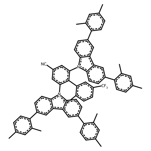 Cc1ccc(-c2ccc3c(c2)c2cc(-c4ccc(C)cc4C)ccc2n3-c2cc(C#N)cc(-n3c4ccc(-c5ccc(C)cc5C)cc4c4cc(-c5ccc(C)cc5C)ccc43)c2-c2cc(C(F)(F)F)ccc2C(F)(F)F)c(C)c1